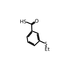 CCSc1cccc(C(=O)S)c1